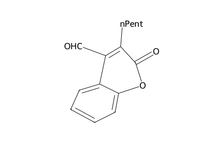 CCCCCc1c(C=O)c2ccccc2oc1=O